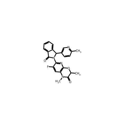 Cc1ccc(C2c3ccccc3C(=O)N2c2nc3c(cc2F)N(C)C(=O)C(C)O3)cn1